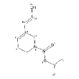 CC(C)OC(=O)N1CCC=C(/C=N/O)C1